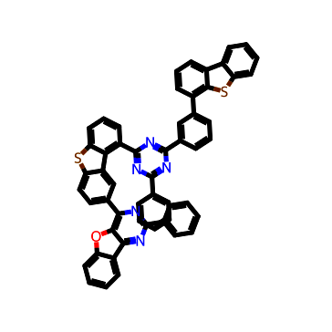 c1ccc(-c2nc(-c3cccc(-c4cccc5c4sc4ccccc45)c3)nc(-c3cccc4sc5ccc(-c6nc(-c7ccccc7)nc7c6oc6ccccc67)cc5c34)n2)cc1